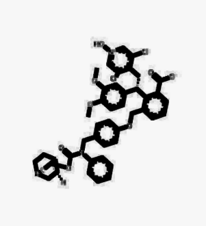 COc1ccc([C@H](Cc2c(Cl)c[n+](O)cc2Cl)c2c(COc3ccc(CN(C(=O)O[C@H]4CN5CCC4CC5)c4ccccc4)cc3)cccc2C(=O)[O-])cc1OC